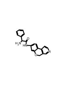 NC(C(=O)Nc1ccc2c(c1)OCc1cnccc1-2)c1ccccc1